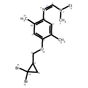 CCN(C)/C=N\c1cc(C)c(OCC2CC2(Br)Br)cc1C